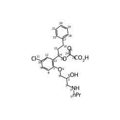 CCCNCC(O)COc1ccc(Cl)cc1C(CCc1ccccc1)OC(=O)C(=O)O